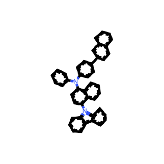 c1ccc(N(c2ccc(-c3ccc4ccccc4c3)cc2)c2ccc(-n3c4ccccc4c4ccccc43)c3ccccc23)cc1